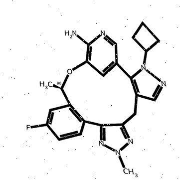 C[C@H]1Oc2cc(cnc2N)-c2c(cnn2C2CCC2)Cc2nn(C)nc2-c2ccc(F)cc21